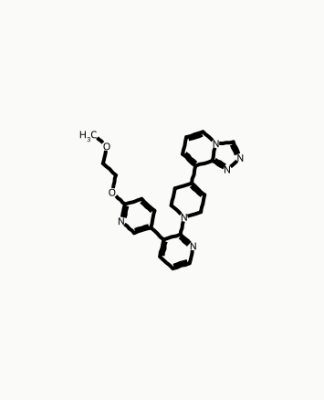 COCCOc1ccc(-c2cccnc2N2CC=C(c3cccn4cnnc34)CC2)cn1